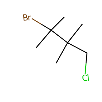 CC(C)(Br)C(C)(C)CCl